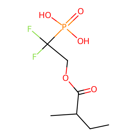 CCC(C)C(=O)OCC(F)(F)P(=O)(O)O